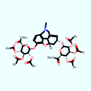 COC(=O)[C@H]1O[C@@H](Oc2ccc3c4c2O[C@H]2C[C@@H](O[C@@H]5O[C@H](C(=O)OC)[C@@H](OC(=O)C(C)C)[C@H](OC(=O)C(C)C)[C@H]5OC(=O)C(C)C)C=C[C@@]42CCN(C)C3)[C@H](OC(=O)C(C)C)[C@@H](OC(=O)C(C)C)[C@@H]1OC(=O)C(C)C